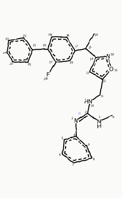 CN/C(=N\c1ccccc1)NCc1cc(C(C)c2ccc(-c3ccccc3)c(F)c2)no1